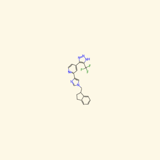 FC(F)(F)c1[nH]nnc1-c1ccnc(-c2cn(CC3CCc4ccccc43)cn2)c1